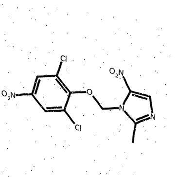 Cc1ncc([N+](=O)[O-])n1COc1c(Cl)cc([N+](=O)[O-])cc1Cl